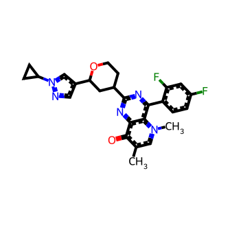 Cc1cn(C)c2c(-c3ccc(F)cc3F)nc(C3CCOC(c4cnn(C5CC5)c4)C3)nc2c1=O